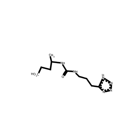 CC(CCC(=O)O)NC(=O)NCCCc1nnn[nH]1